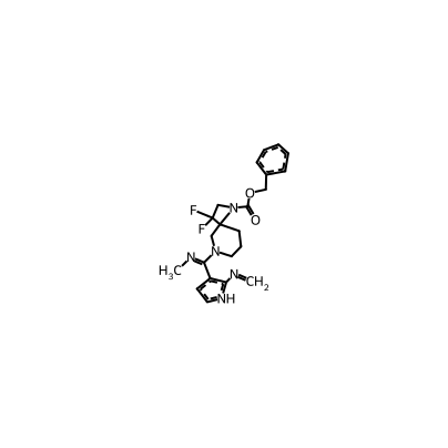 C=Nc1[nH]ccc1/C(=N\C)N1CCCC2(C1)N(C(=O)OCc1ccccc1)CC2(F)F